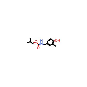 Cc1cc(CNC(=O)OCC(C)C)ccc1O